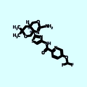 CC1(C)C[C@H]2COC(N)=N[C@@]2(c2nc(NC(=O)c3ccc(OC(F)F)cn3)cs2)CO1